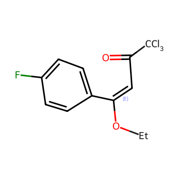 CCO/C(=C/C(=O)C(Cl)(Cl)Cl)c1ccc(F)cc1